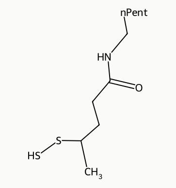 CCCCCCNC(=O)CCC(C)SS